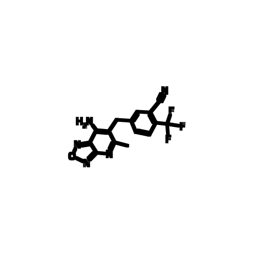 Cc1nc2nonc2c(N)c1Cc1ccc(C(F)(F)F)c(C#N)c1